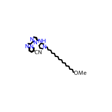 COCCCCCCCCCCCCCCCCN1CCC[C@@H](Nc2ccnc(-c3cnc4ccc(C#N)cn34)n2)C1